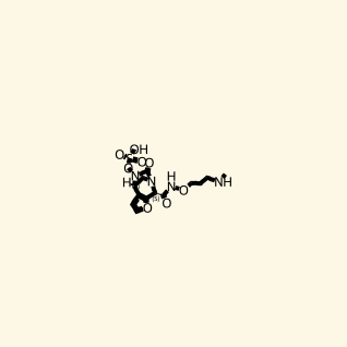 CNCCCONC(=O)[C@@H]1c2occc2[C@@H]2CN1C(=O)N2OS(=O)(=O)O